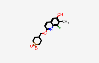 Cc1c(O)cc2ccc(OCC3CCS(=O)(=O)CC3)nc2c1F